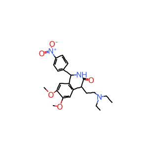 CCN(CC)CCC1C(=O)NC(c2ccc([N+](=O)[O-])cc2)c2cc(OC)c(OC)cc21